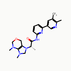 Cc1ncc(-c2cccc(NC(=O)[C@H](C)N3CN(C)C4=C3COCN4C)n2)cc1C(F)(F)F